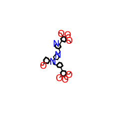 COc1cccc(N(Cc2cccc(-c3cc(OC)c(OC)c(OC)c3)c2)C2CCN(Cc3ccnc(-c4cc(OC)c(OC)c(OC)c4)c3)CC2)c1